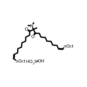 CCCCCCCC/C=C\CCCCCCCC(=O)C(C)(C(=O)CCCCCCC/C=C\CCCCCCCC)N(C)C.O=S(=O)(O)O